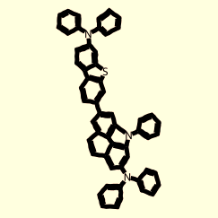 c1ccc(N(c2ccccc2)c2ccc3c(c2)sc2cc(-c4cc5ccc6cc(N(c7ccccc7)c7ccccc7)cc7c6c5c(c4)n7-c4ccccc4)ccc23)cc1